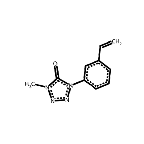 C=Cc1cccc(-n2nnn(C)c2=O)c1